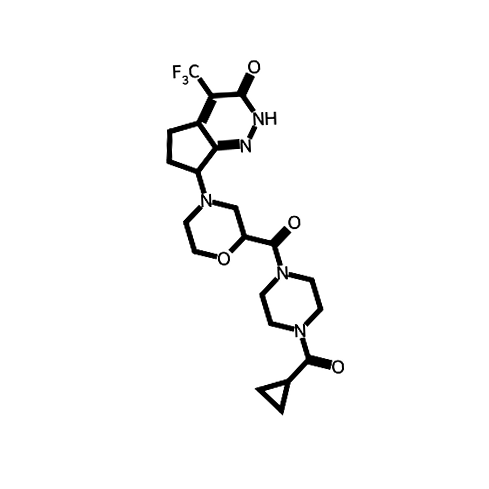 O=C(C1CC1)N1CCN(C(=O)C2CN(C3CCc4c3n[nH]c(=O)c4C(F)(F)F)CCO2)CC1